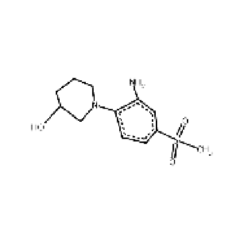 CS(=O)(=O)c1ccc(N2CCCC(O)C2)c(N)c1